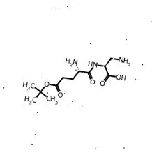 CC(C)(C)OC(=O)CC[C@H](N)C(=O)N[C@@H](CN)C(=O)O